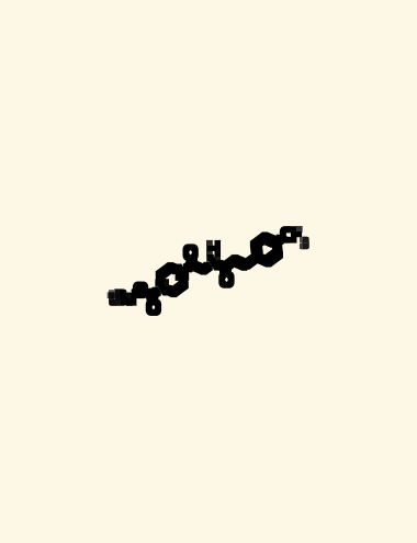 CC(C)(C)OC(=O)N1CCN(C(=O)CNC(=O)/C=C/c2ccc(C(F)(F)F)cc2)CC1